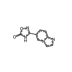 O=c1[nH]c(-c2ccc3nccn3c2)no1